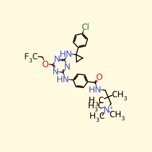 CC(C)(CNC(=O)c1ccc(Nc2nc(NC3(c4ccc(Cl)cc4)CC3)nc(OCC(F)(F)F)n2)cc1)C[N+](C)(C)C